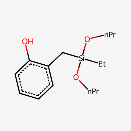 CCCO[Si](CC)(Cc1ccccc1O)OCCC